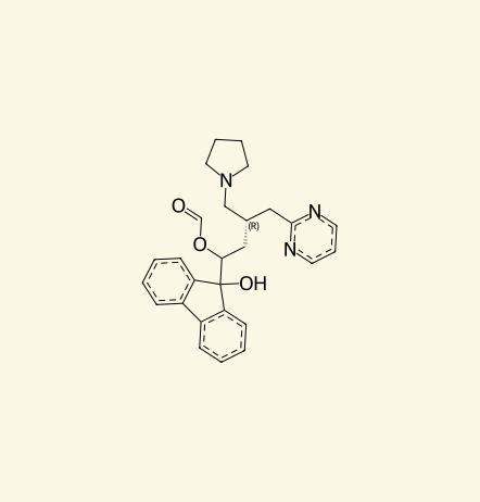 O=COC(C[C@@H](Cc1ncccn1)CN1CCCC1)C1(O)c2ccccc2-c2ccccc21